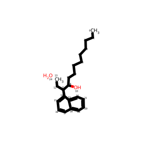 CCCCCCCCCC(O)C(CC)c1cccc2ccccc12.O